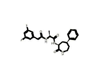 C[C@H](NC(=O)Cc1cc(F)cc(F)c1)C(=O)N[C@H]1C[C@@H](c2ccccc2)CCNC1=O